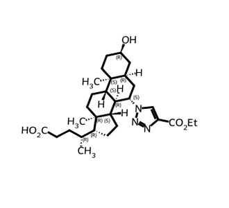 CCOC(=O)c1cn([C@H]2C[C@@H]3C[C@H](O)CC[C@]3(C)[C@H]3CC[C@]4(C)[C@@H]([C@H](C)CCC(=O)O)CC[C@H]4[C@H]23)nn1